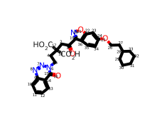 O=C(CC(CCn1nnc2ccccc2c1=O)(C(=O)O)C(=O)O)c1noc2cc(OCCC3CCCCC3)ccc12